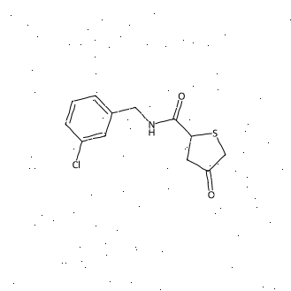 O=C1CSC(C(=O)NCc2cccc(Cl)c2)C1